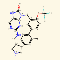 Cc1ccccc1-c1ccc(OC(F)(F)F)c(Cn2c(=O)[nH]c3cnc(NC[C@@H]4CCNC4)nc32)c1